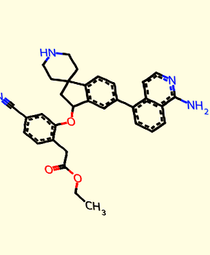 CCOC(=O)Cc1ccc(C#N)cc1OC1CC2(CCNCC2)c2ccc(-c3cccc4c(N)nccc34)cc21